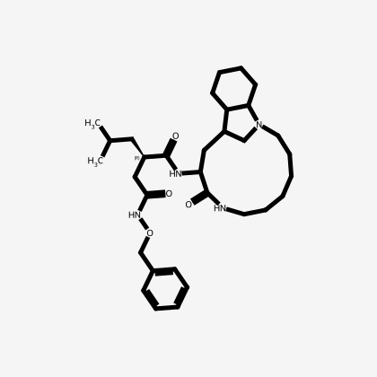 CC(C)C[C@H](CC(=O)NOCc1ccccc1)C(=O)NC1CC2CN(CCCCCCNC1=O)C1CCCCC21